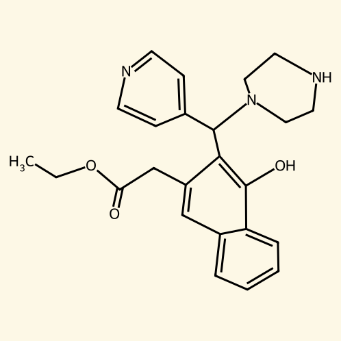 CCOC(=O)Cc1cc2ccccc2c(O)c1C(c1ccncc1)N1CCNCC1